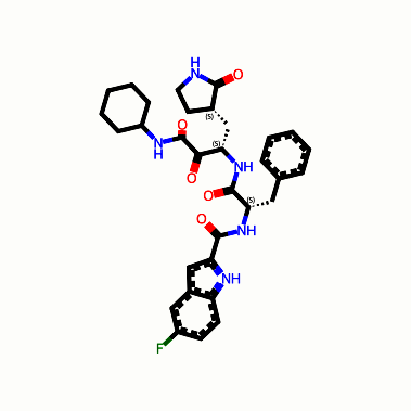 O=C(NC1CCCCC1)C(=O)[C@H](C[C@@H]1CCNC1=O)NC(=O)[C@H](Cc1ccccc1)NC(=O)c1cc2cc(F)ccc2[nH]1